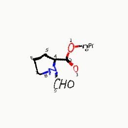 CCCOC(=O)C1CCCN1C=O